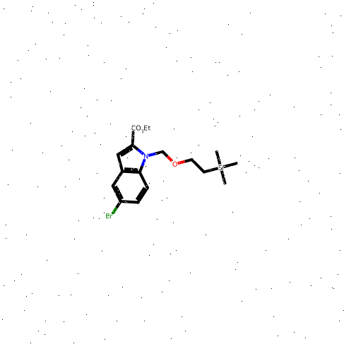 CCOC(=O)c1cc2cc(Br)ccc2n1COCC[Si](C)(C)C